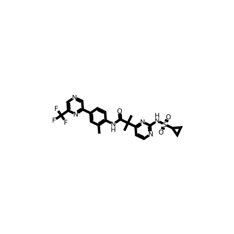 Cc1cc(-c2cncc(C(F)(F)F)n2)ccc1NC(=O)C(C)(C)c1ccnc(NS(=O)(=O)C2CC2)n1